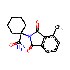 NC(=O)C1(N2C(=O)c3cccc(C(F)(F)F)c3C2=O)CCCCC1